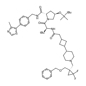 Cc1ncsc1-c1ccc(CNC(=O)[C@@H]2C[C@@H](O[Si](C)(C)C(C)(C)C)CN2C(=O)[C@@H](NC(=O)CC2CC(C3CCN(C[C@@]4(COCc5ccccc5)CC4(F)F)CC3)C2)C(C)(C)C)cc1